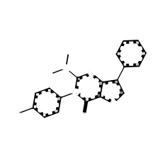 CN(C)c1nc2c(-c3ccccc3)csc2c(=O)n1-c1ccc(Cl)cc1